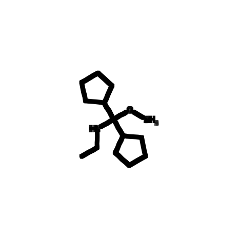 CCNC(O[SiH3])(C1CCCC1)C1CCCC1